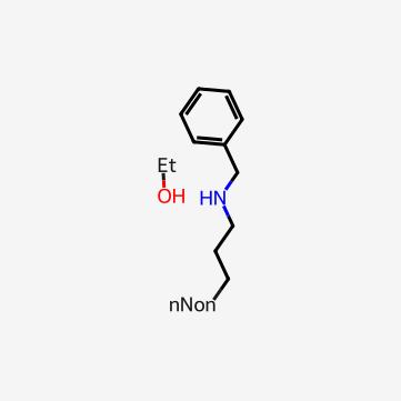 CCCCCCCCCCCCNCc1ccccc1.CCO